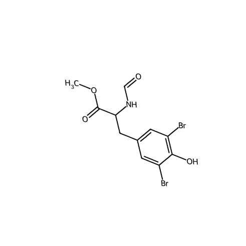 COC(=O)C(Cc1cc(Br)c(O)c(Br)c1)NC=O